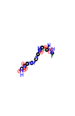 N#Cc1c(NS(=O)(=O)N2CC[C@@H](F)C2)ccc(F)c1Oc1ccc2ncn(-c3ccc(N4CCC(CN5CCN(c6ccc7c(c6)C(=O)N(C6CCC(=O)NC6=O)C7=O)CC5)CC4)cc3)c(=O)c2c1